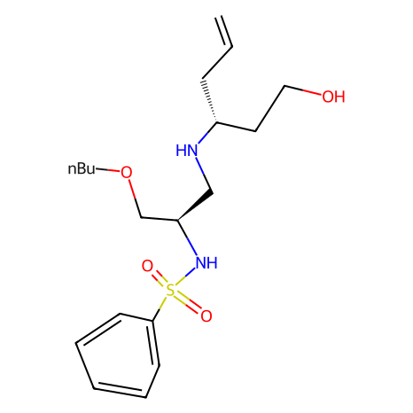 C=CC[C@H](CCO)NC[C@H](COCCCC)NS(=O)(=O)c1ccccc1